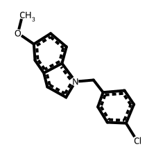 COc1ccc2c(ccn2Cc2ccc(Cl)cc2)c1